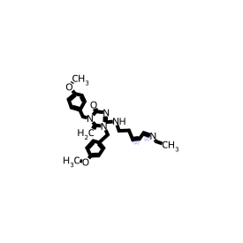 C=C1N(Cc2ccc(OC)cc2)C(=O)N=C(NCC/C=C\C=N/CC)N1Cc1ccc(OC)cc1